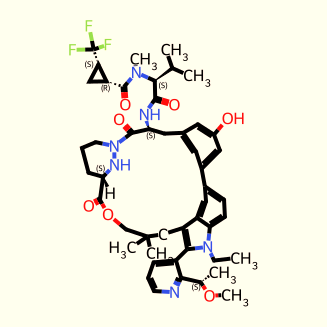 CCn1c(-c2cccnc2[C@H](C)OC)c2c3cc(ccc31)-c1cc(O)cc(c1)C[C@H](NC(=O)[C@H](C(C)C)N(C)C(=O)[C@@H]1C[C@@H]1C(F)(F)F)C(=O)N1CCC[C@H](N1)C(=O)OCC(C)(C)C2